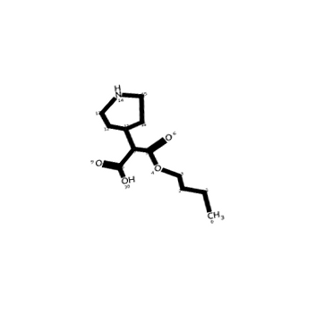 CCCCOC(=O)C(C(=O)O)C1CCNCC1